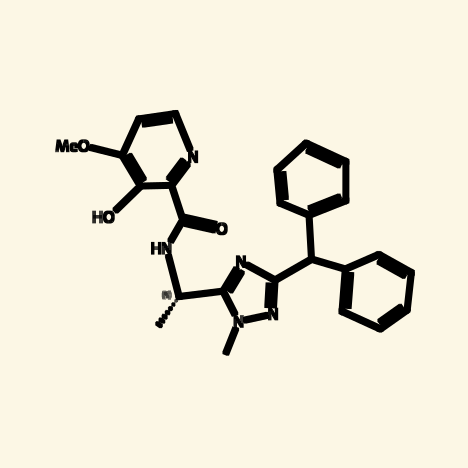 COc1ccnc(C(=O)N[C@@H](C)c2nc(C(c3ccccc3)c3ccccc3)nn2C)c1O